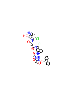 Cc1c[nH]c2c(O)cc3c(c12)[C@H](CCl)CN3C(=O)C12CC(C(=O)N3C[C@@H](CCl)c4c3cc(NC(=O)[C@H](C)NC(=O)[C@@H](NC(=O)OCC3c5ccccc5-c5ccccc53)C(C)C)c3ccccc43)(C1)C2